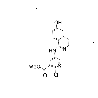 COC(=O)c1cc(Nc2nccc3cc(O)ccc23)cnc1Cl